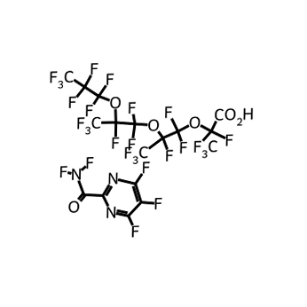 O=C(O)C(F)(OC(F)(F)C(F)(OC(F)(F)C(F)(OC(F)(F)C(F)(F)C(F)(F)F)C(F)(F)F)C(F)(F)F)C(F)(F)F.O=C(c1nc(F)c(F)c(F)n1)N(F)F